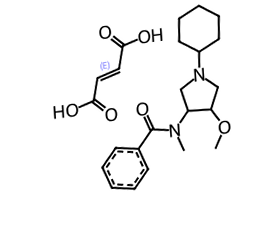 COC1CN(C2CCCCC2)CC1N(C)C(=O)c1ccccc1.O=C(O)/C=C/C(=O)O